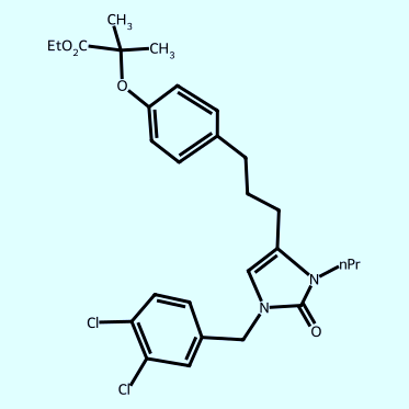 CCCn1c(CCCc2ccc(OC(C)(C)C(=O)OCC)cc2)cn(Cc2ccc(Cl)c(Cl)c2)c1=O